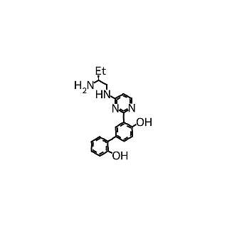 CC[C@H](N)CNc1ccnc(-c2cc(-c3ccccc3O)ccc2O)n1